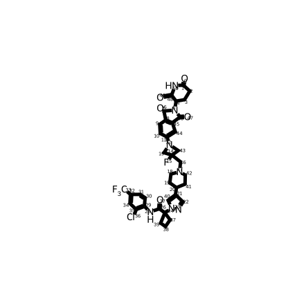 O=C1CCC(N2C(=O)c3ccc(N4CC(F)(CN5CCC(c6cnn(C7(C(=O)Nc8ccc(C(F)(F)F)cc8Cl)CCC7)c6)CC5)C4)cc3C2=O)C(=O)N1